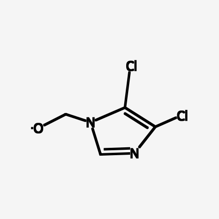 [O]Cn1cnc(Cl)c1Cl